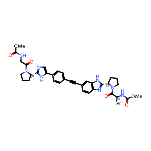 COC(=O)NCC(=O)N1CCC[C@H]1c1ncc(-c2ccc(C#Cc3ccc4nc([C@@H]5CCCN5C(=O)[C@@H](NC(=O)OC)C(C)C)[nH]c4c3)cc2)[nH]1